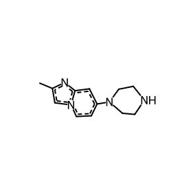 Cc1cn2ccc(N3CCNCC3)cc2n1